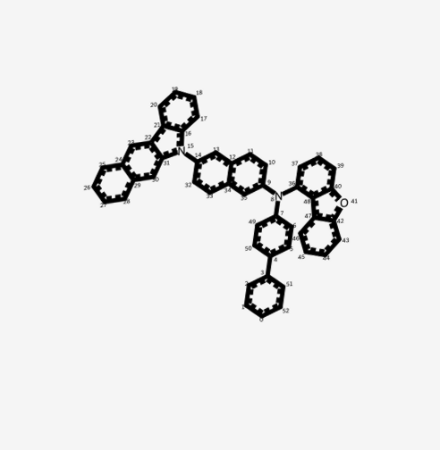 c1ccc(-c2ccc(N(c3ccc4cc(-n5c6ccccc6c6cc7ccccc7cc65)ccc4c3)c3cccc4oc5ccccc5c34)cc2)cc1